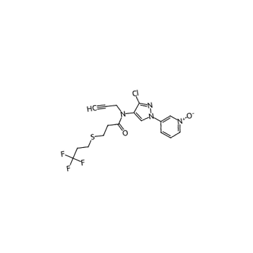 C#CCN(C(=O)CCSCCC(F)(F)F)c1cn(-c2ccc[n+]([O-])c2)nc1Cl